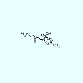 CC(=O)ON(CCNCCN)S(=O)(=O)O